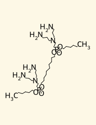 CCCCCCOP(=O)(CCN(CCCN)CCCN)OCCCCCCCCCCOP(=O)(CCN(CCCN)CCCN)OCCCCCC